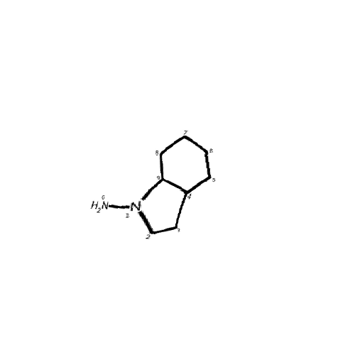 NN1CCC2CCCCC21